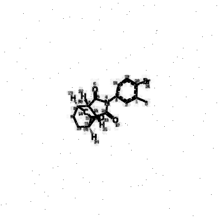 Cc1cc(N2C(=O)[C@H]3[C@@H]4CC[C@@H](C(=O)C4)[C@H]3C2=O)ccc1Br